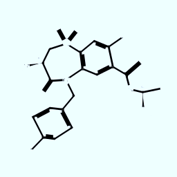 C[C@H](NC(=O)c1cc2c(cc1F)S(=O)(=O)C[C@H](N)C(=O)N2Cc1ccc(Cl)cc1)C(F)(F)F